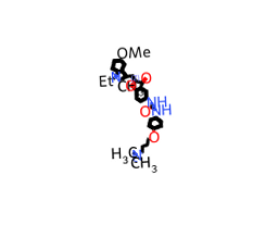 CCn1c(C)c(/C=C2\Oc3ccc(NC(=O)Nc4ccc(OCCCCN(C)C)cc4)cc3C2=O)c2cc(OC)ccc21